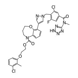 Cc1c(Cl)cccc1OCCOC(=O)N1CCCOc2c(-c3cnn(Cc4c(F)cc(C(=O)N(C)c5nn[nH]n5)cc4Cl)c3)cccc21